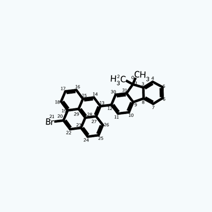 CC1(C)c2ccccc2-c2ccc(-c3cc4cccc5c(Br)cc6cccc3c6c45)cc21